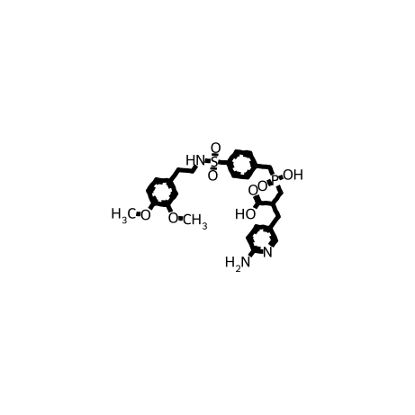 COc1ccc(CCNS(=O)(=O)c2ccc(CP(=O)(O)CC(Cc3ccc(N)nc3)C(=O)O)cc2)cc1OC